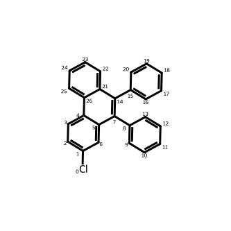 Clc1ccc2c(c1)c(-c1ccccc1)c(-c1ccccc1)c1ccccc12